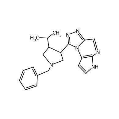 CC(C)C1CN(Cc2ccccc2)CC1c1nnc2cnc3[nH]ccc3n12